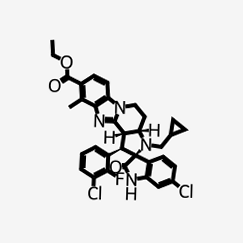 CCOC(=O)c1ccc2c(nc3n2CC[C@H]2[C@@H]3[C@H](c3cccc(Cl)c3F)[C@]3(C(=O)Nc4cc(Cl)ccc43)N2CC2CC2)c1C